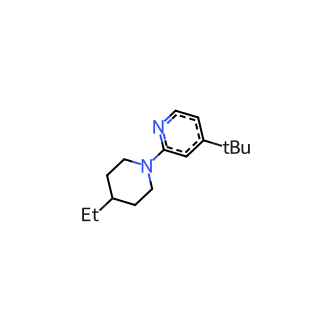 CCC1CCN(c2cc(C(C)(C)C)ccn2)CC1